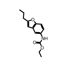 CCCc1cc2cc(NC(=O)OCC)ccc2o1